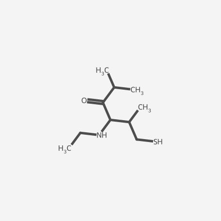 CCNC(C(=O)C(C)C)C(C)CS